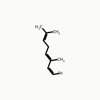 [2H]/C=C\C(C)=C\CC=C(C)C